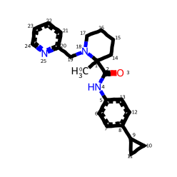 CC1(C(=O)Nc2ccc(C3CC3)cc2)CCCCN1Cc1ccccn1